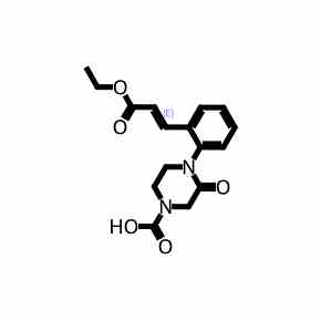 CCOC(=O)/C=C/c1ccccc1N1CCN(C(=O)O)CC1=O